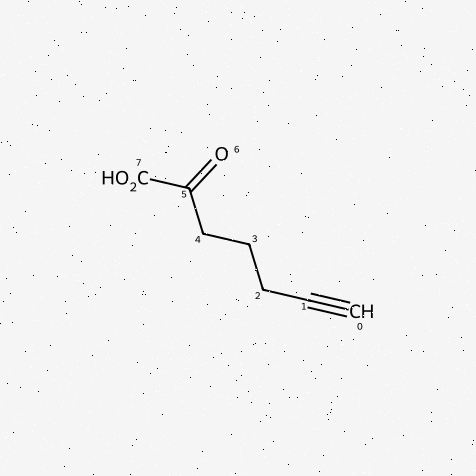 C#CCCCC(=O)C(=O)O